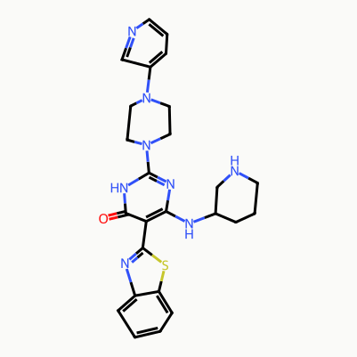 O=c1[nH]c(N2CCN(c3cccnc3)CC2)nc(NC2CCCNC2)c1-c1nc2ccccc2s1